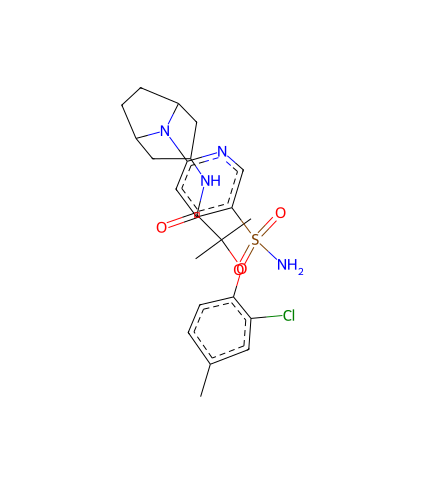 Cc1ccc(OC(C)(C)C(=O)NC2CC3CCC(C2)N3c2ccc(S(N)(=O)=O)cn2)c(Cl)c1